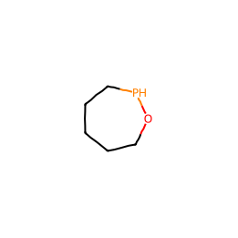 C1CCOPCC1